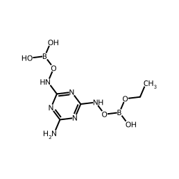 CCOB(O)ONc1nc(N)nc(NOB(O)O)n1